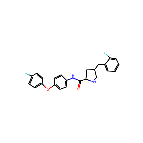 O=C(Nc1ccc(Oc2ccc(F)cc2)cc1)C1CC(Cc2ccccc2F)CN1